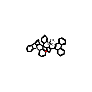 C[Si]1(C)c2ccccc2C2(c3ccccc3-n3c4ccccc4c4cccc2c43)c2cccc(-c3cc4ccccc4c4ccccc34)c21